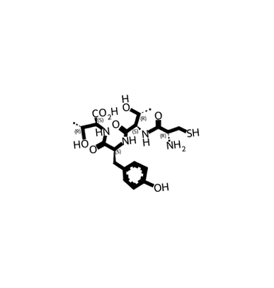 C[C@@H](O)[C@H](NC(=O)[C@H](Cc1ccc(O)cc1)NC(=O)[C@@H](NC(=O)[C@@H](N)CS)[C@@H](C)O)C(=O)O